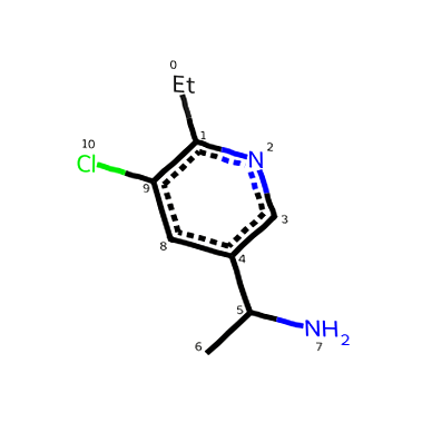 CCc1ncc(C(C)N)cc1Cl